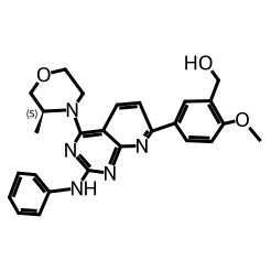 COc1ccc(-c2ccc3c(N4CCOC[C@@H]4C)nc(Nc4ccccc4)nc3n2)cc1CO